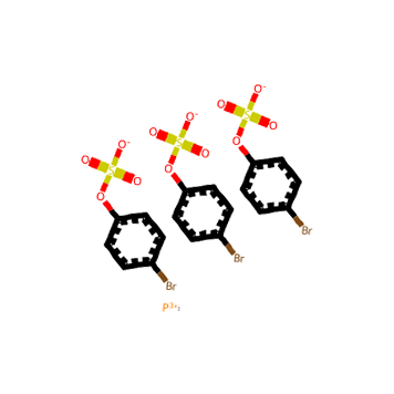 O=S(=O)([O-])Oc1ccc(Br)cc1.O=S(=O)([O-])Oc1ccc(Br)cc1.O=S(=O)([O-])Oc1ccc(Br)cc1.[P+3]